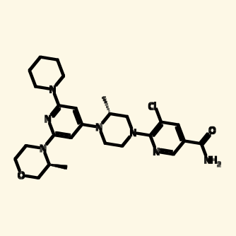 C[C@@H]1CN(c2ncc(C(N)=O)cc2Cl)CCN1c1cc(N2CCCCC2)nc(N2CCOC[C@@H]2C)c1